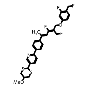 COC1CSC(c2ccc(-c3ccc(/C(C)=C/C(F)=C(\CF)COc4ccc(CF)c(F)c4)cc3)nc2)SC1